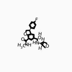 CNC(=O)c1cc(C(O)N[C@H]2[C@@H]3COC[C@@H]32)cc2c1OC[C@H]2c1ccc(F)cc1